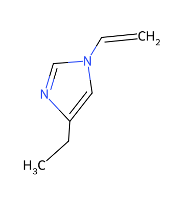 C=Cn1cnc(CC)c1